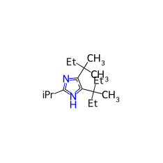 CCC(C)(C)c1nc(C(C)C)[nH]c1C(C)(CC)CC